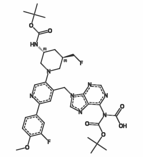 COc1ccc(-c2cc(Cn3cnc4c(N(C(=O)O)C(=O)OC(C)(C)C)ncnc43)c(N3C[C@H](CF)C[C@@H](NC(=O)OC(C)(C)C)C3)cn2)cc1F